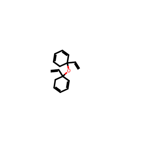 C=CC1(OC2(C=C)C=CC=CC2)C=CC=CC1